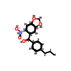 CCCc1ccc(C(=O)c2cc3c(cc2[N+](=O)[O-])OCO3)cc1